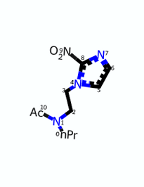 CCCN(CCn1ccnc1[N+](=O)[O-])C(C)=O